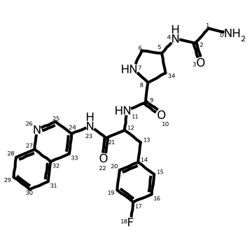 NCC(=O)NC1CNC(C(=O)NC(Cc2ccc(F)cc2)C(=O)Nc2cnc3ccccc3c2)C1